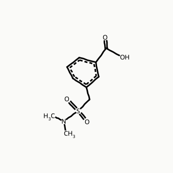 CN(C)S(=O)(=O)Cc1cccc(C(=O)O)c1